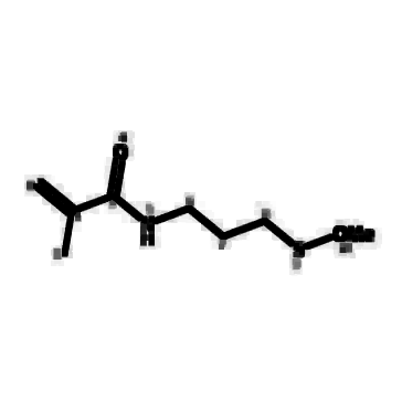 C=C(C)C(=O)NCCCSOC